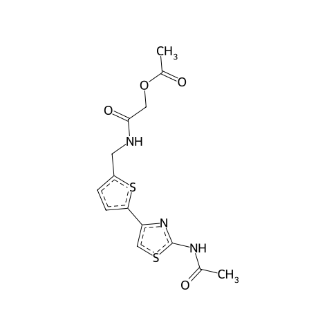 CC(=O)Nc1nc(-c2ccc(CNC(=O)COC(C)=O)s2)cs1